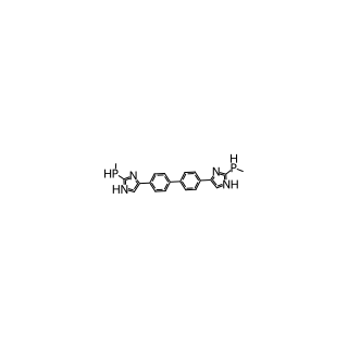 CPc1nc(-c2ccc(-c3ccc(-c4c[nH]c(PC)n4)cc3)cc2)c[nH]1